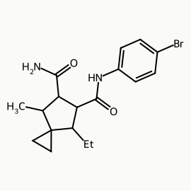 CCC1C(C(=O)Nc2ccc(Br)cc2)C(C(N)=O)C(C)C12CC2